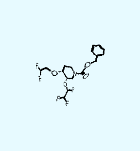 O=C(OCc1ccccc1)N1CC[C@@H](OCC(F)F)[C@@H](OC(F)C(F)F)C1